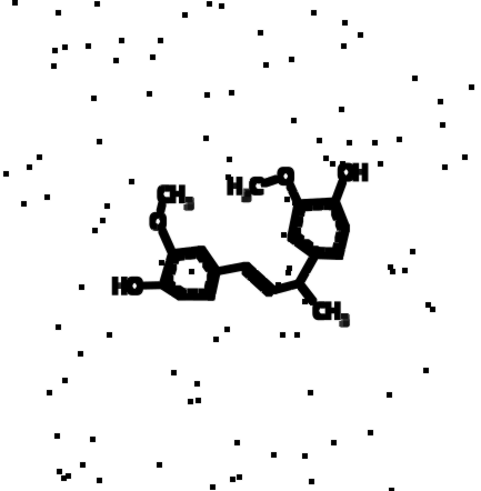 COc1cc(/C=C/C(C)c2ccc(O)c(OC)c2)ccc1O